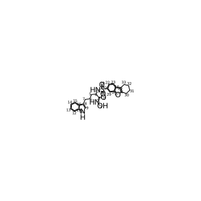 O=C(NO)C(CCCc1c[nH]c2ccccc12)NS(=O)(=O)c1ccc2c3c(oc2c1)CCCC3